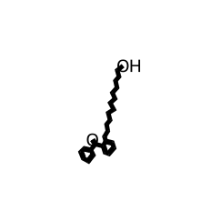 O=C(c1ccccc1)c1ccccc1CCCCCCCCCCCCCO